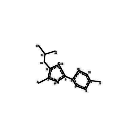 Cc1ccc(-c2nc(C)c(CC(C)C)s2)cc1